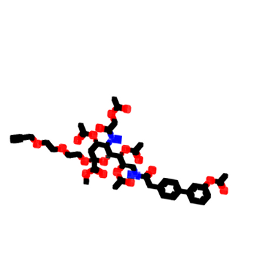 C#CCOCCOCCO[C@]1(C(=O)OC)C[C@H](OC(C)=O)[C@@H](NC(=O)COC(C)=O)[C@H]([C@H](OC(C)=O)[C@@H](CNC(=O)Cc2ccc(-c3cccc(OC(C)=O)c3)cc2)OC(C)=O)O1